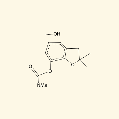 CNC(=O)Oc1cccc2c1OC(C)(C)C2.CO